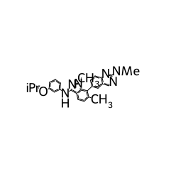 CNc1ncc2cc(-c3c(C)ccc4c(Nc5cccc(OC(C)C)c5)nn(C)c34)ccc2n1